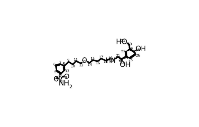 NS(=O)(=O)c1cccc(CCCCOCCCCCCNC[C@H](O)c2ccc(O)c(CO)c2)c1